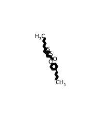 CCCCCc1cc2cc(C(=O)O[C@H]3CC[C@H](CCCCC)CC3)sc2s1